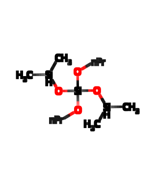 CCCO[Si](OCCC)(O[SiH](C)C)O[SiH](C)C